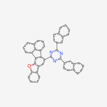 c1ccc2cc(-c3nc(-c4ccc5ccccc5c4)nc(-c4cc5c(oc6ccccc65)c5c4-c4cccc6cccc-5c46)n3)ccc2c1